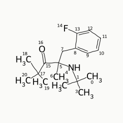 CC(C)(C)NC(C)(Cc1ccccc1F)C(=O)C(C)(C)C